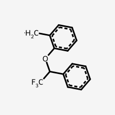 [CH2]c1ccccc1OC(c1ccccc1)C(F)(F)F